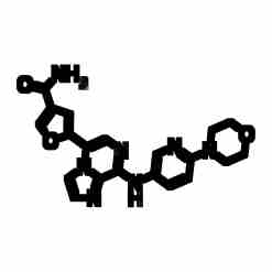 NC(=O)c1coc(-c2cnc(Nc3ccc(N4CCOCC4)nc3)c3nccn23)c1